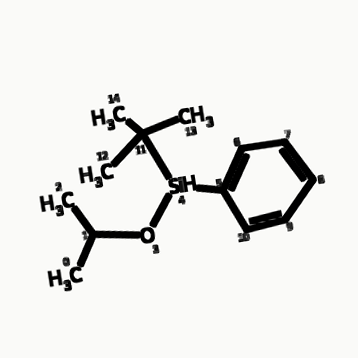 CC(C)O[SiH](c1ccccc1)C(C)(C)C